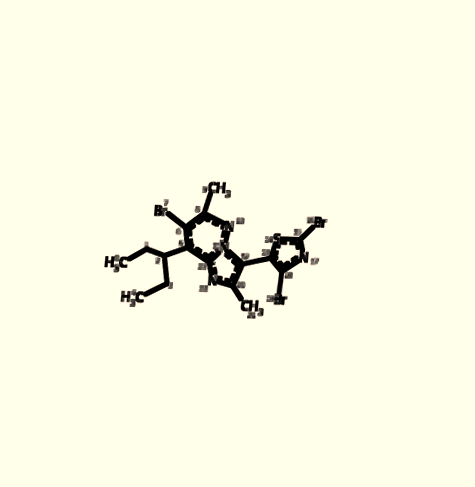 CCC(CC)c1c(Br)c(C)nn2c(-c3sc(Br)nc3Br)c(C)nc12